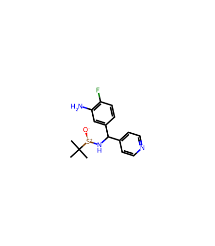 CC(C)(C)[S@@+]([O-])NC(c1ccncc1)c1ccc(F)c(N)c1